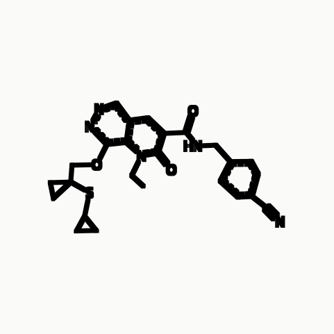 CCn1c(=O)c(C(=O)NCc2ccc(C#N)cc2)cc2cnnc(OCC3(SC4CC4)CC3)c21